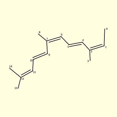 CC=C(C)C=CC=C(C)C=CC=C(C)C